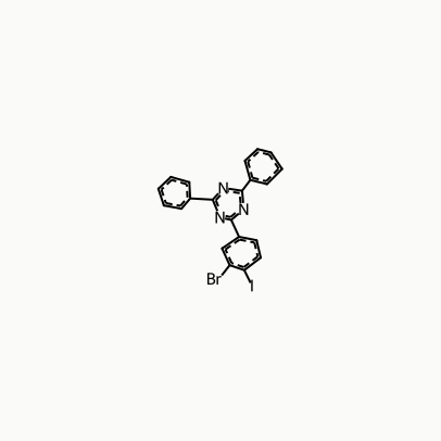 Brc1cc(-c2nc(-c3ccccc3)nc(-c3ccccc3)n2)ccc1I